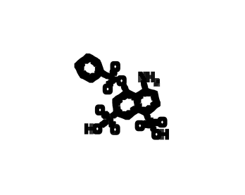 Nc1ccc(S(=O)(=O)O)c2cc(S(=O)(=O)O)cc(OS(=O)(=O)c3ccccc3)c12